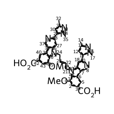 COc1cc(C(=O)O)cc2c3cnc(-c4cc(C)nn4C)cc3n(C/C=C/Cn3c4cc(-c5cc(C)nn5C)ncc4c4cc(C(=O)O)cc(OC)c43)c12